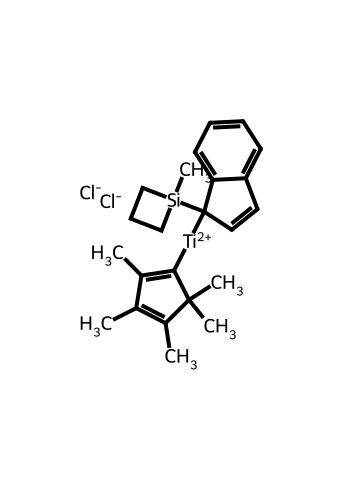 CC1=C(C)C(C)(C)[C]([Ti+2][C]2([Si]3(C)CCC3)C=Cc3ccccc32)=C1C.[Cl-].[Cl-]